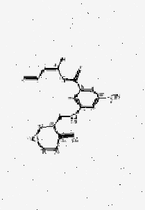 C=C/C=C(/C)SC(=C)c1cc(C#N)cc(OC[C@@H]2COCCC2=C)c1